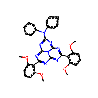 COc1cccc(OC)c1C1=NC2=NC(c3c(OC)cccc3OC)=NC3=NC(N(c4ccccc4)c4ccccc4)=NC(=N1)N23